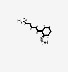 CCCCCC=C1CCCCC1=NO